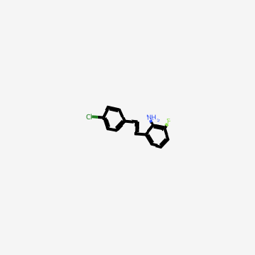 Nc1c(F)cccc1C=Cc1ccc(Cl)cc1